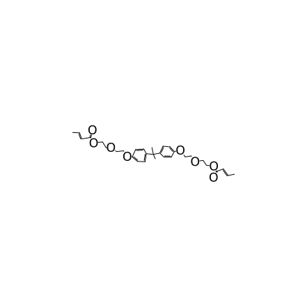 CC=CC(=O)OCCOCCOc1ccc(C(C)(C)c2ccc(OCCOCCOC(=O)C=CC)cc2)cc1